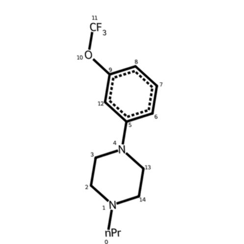 [CH2]CCN1CCN(c2cccc(OC(F)(F)F)c2)CC1